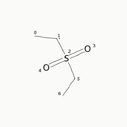 C[CH]S(=O)(=O)CC